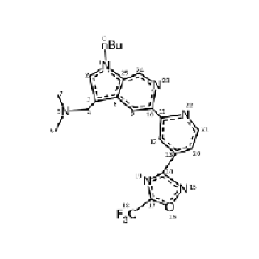 CCCCn1cc(CN(C)C)c2cc(-c3cc(-c4noc(C(F)(F)F)n4)ccn3)ncc21